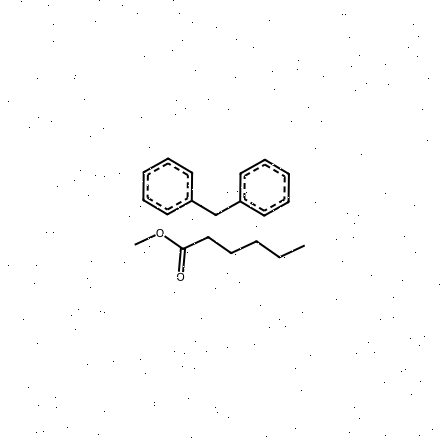 CCCCCC(=O)OC.c1ccc(Cc2ccccc2)cc1